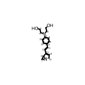 OCCN(CCO)c1ccc(/C=C/C2=CC=[N+]3CC23)cc1